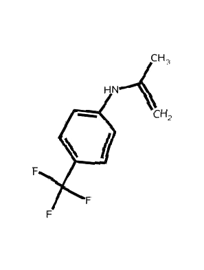 C=C(C)Nc1ccc(C(F)(F)F)cc1